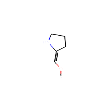 CC(=O)O/C=C1\CCCN1